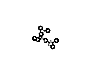 c1ccc(-c2nc(-c3ccc(-n4c5cc6c(cc5c5c7ccccc7ccc54)c4ccccc4n6-c4ccccc4)nc3)nc3ccccc23)cc1